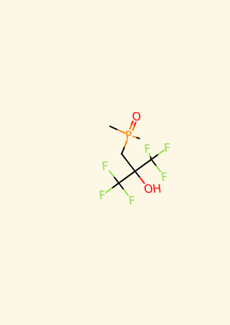 CP(C)(=O)CC(O)(C(F)(F)F)C(F)(F)F